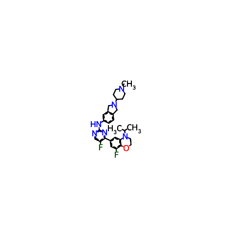 CC(C)N1CCOc2c(F)cc(-c3nc(Nc4ccc5c(c4)CN(C4CCN(C)CC4)C5)ncc3F)cc21